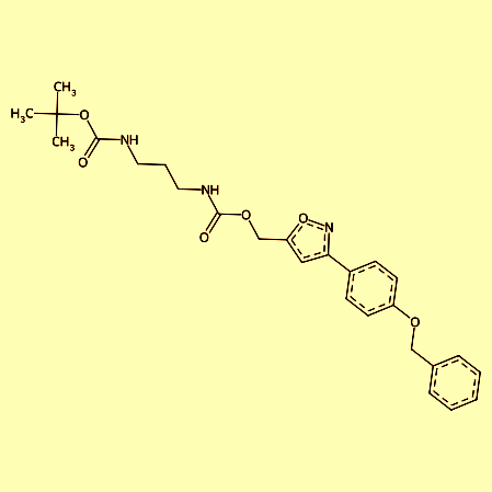 CC(C)(C)OC(=O)NCCCNC(=O)OCc1cc(-c2ccc(OCc3ccccc3)cc2)no1